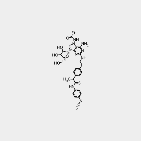 CCC(=O)NN1CN([C@@H]2O[C@H](CO)C(O)C2O)c2nc(NCCc3ccc(C(C)C(=S)Nc4ccc(N=C=S)cc4)cc3)nc(N)c21